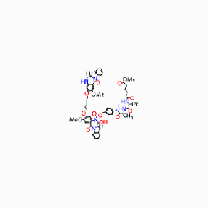 COC(=O)CCCCC(=O)N[C@H](C(=O)N[C@@H](C)C(=O)Nc1ccc(COC(=O)N2c3cc(OCCCCCOc4cc5c(cc4OC)C(=O)N4c6ccccc6C[C@H]4CN5)c(OC)cc3C(=O)N3c4ccccc4C[C@H]3[C@@H]2O)cc1)C(C)C